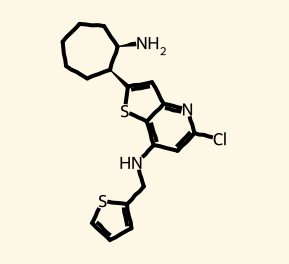 N[C@@H]1CCCCC[C@@H]1c1cc2nc(Cl)cc(NCc3cccs3)c2s1